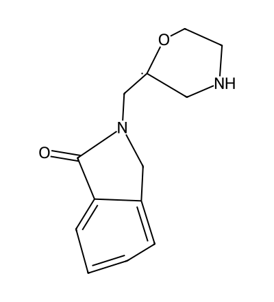 O=C1c2ccccc2CN1C[C]1CNCCO1